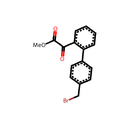 COC(=O)C(=O)c1ccccc1-c1ccc(CBr)cc1